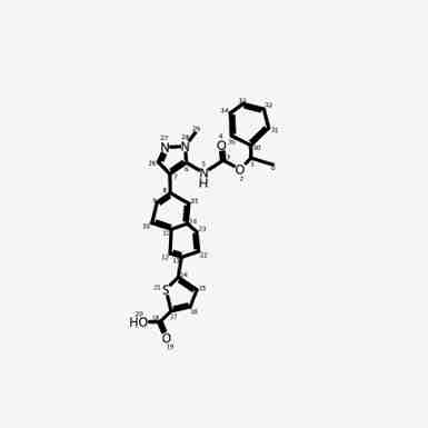 CC(OC(=O)Nc1c(-c2ccc3cc(-c4ccc(C(=O)O)s4)ccc3c2)cnn1C)c1ccccc1